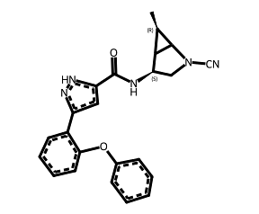 C[C@@H]1C2C1N(C#N)C[C@H]2NC(=O)c1cc(-c2ccccc2Oc2ccccc2)n[nH]1